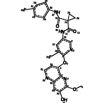 COc1nc2c(Oc3ncc(NC(=O)C4(C(=O)Nc5ccc(F)cc5)CC4)cc3F)ccnc2cc1O